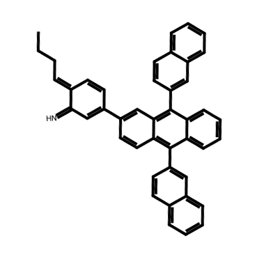 CCC/C=C1\C=CC(c2ccc3c(-c4ccc5ccccc5c4)c4ccccc4c(-c4ccc5ccccc5c4)c3c2)=CC1=N